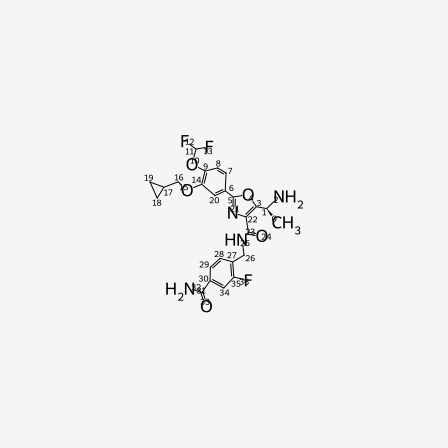 C[C@H](N)c1oc(-c2ccc(OC(F)F)c(OCC3CC3)c2)nc1C(=O)NCc1ccc(C(N)=O)cc1F